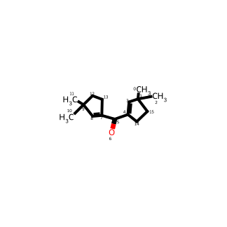 CC1(C)C=C(C(=O)C2=CC(C)(C)CC2)CC1